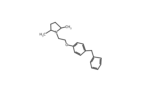 CC1CCC(C)N1CCOc1ccc(Cc2ccccc2)cc1